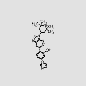 CC1(C)CC(n2nnc3cc(-c4ccc(-n5ccnc5)cc4O)nnc32)CC(C)(C)N1